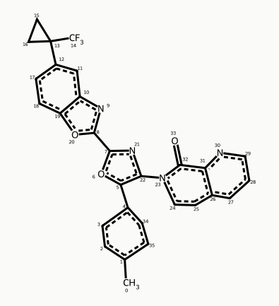 Cc1ccc(-c2oc(-c3nc4cc(C5(C(F)(F)F)CC5)ccc4o3)nc2-n2ccc3cccnc3c2=O)cc1